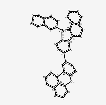 c1ccc2cc(-n3c4ccc(-c5ccc6c(c5)-c5cccc7cccc(c57)O6)cc4c4ccc5ccccc5c43)ccc2c1